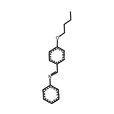 CCCCOc1ccc(C=Nc2ccccc2)cc1